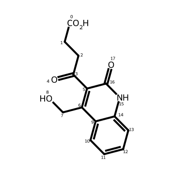 O=C(O)CCC(=O)c1c(CO)c2ccccc2[nH]c1=O